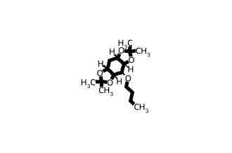 CCCCO[C@@H]1[C@H]2OC(C)(C)O[C@@H]2C[C@@H]2OC(C)(C)O[C@@H]12